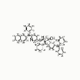 CC1(C)c2cc(N(c3ccccc3)c3ccccc3)ccc2-c2c1cc(-c1ccc(N(c3ccccc3)c3ccc4ccccc4c3)nc1)c1ccccc21